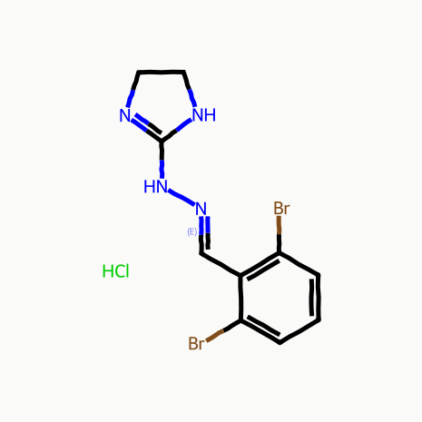 Brc1cccc(Br)c1/C=N/NC1=NCCN1.Cl